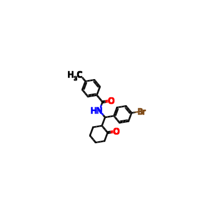 Cc1ccc(C(=O)NC(c2ccc(Br)cc2)C2CCCCC2=O)cc1